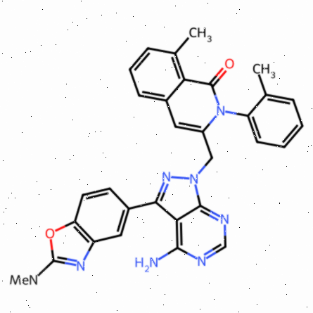 CNc1nc2cc(-c3nn(Cc4cc5cccc(C)c5c(=O)n4-c4ccccc4C)c4ncnc(N)c34)ccc2o1